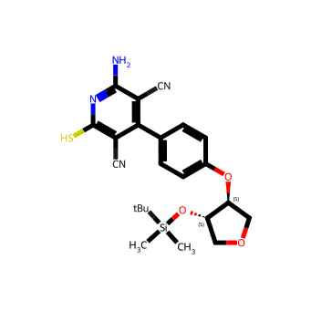 CC(C)(C)[Si](C)(C)O[C@H]1COC[C@@H]1Oc1ccc(-c2c(C#N)c(N)nc(S)c2C#N)cc1